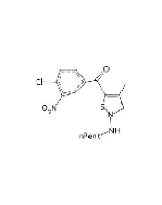 CCCCCNN1CC(C)=C(C(=O)c2ccc(Cl)c([N+](=O)[O-])c2)S1